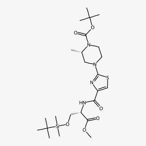 COC(=O)[C@H](CO[Si](C)(C)C(C)(C)C)NC(=O)c1csc(N2CCN(C(=O)OC(C)(C)C)[C@@H](C)C2)n1